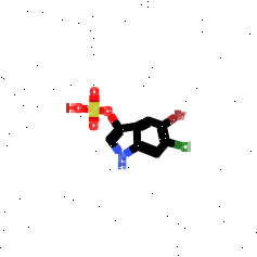 O=S(=O)(O)Oc1c[nH]c2cc(Cl)c(Br)cc12